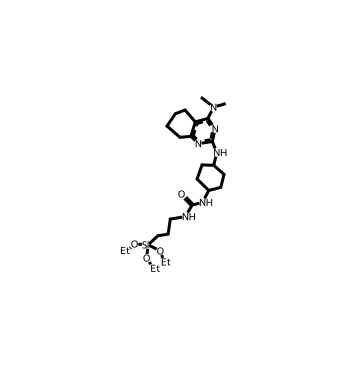 CCO[Si](CCCNC(=O)NC1CCC(Nc2nc3c(c(N(C)C)n2)CCCC3)CC1)(OCC)OCC